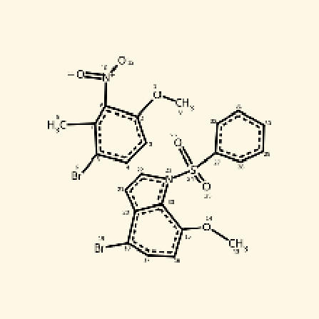 COc1ccc(Br)c(C)c1[N+](=O)[O-].COc1ccc(Br)c2ccn(S(=O)(=O)c3ccccc3)c12